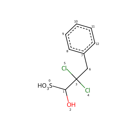 O=S(=O)(O)C(O)C(Cl)(Cl)Cc1ccccc1